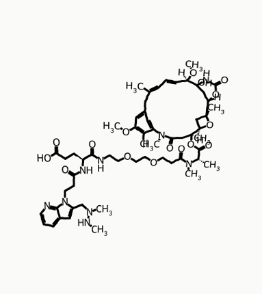 CNN(C)Cc1cc2cccnc2n1CCC(=O)N[C@@H](CCC(=O)O)C(=O)NCCOCCOCCC(=O)N(C)[C@@H](C)C(=O)O[C@H]1CC(=O)N(C)c2cc(cc(OC)c2Cl)C/C(C)=C/C=C/[C@@H](OC)[C@@]2(O)C[C@H](OC(=O)N2)C2(C)C[C@@]1(C)O2